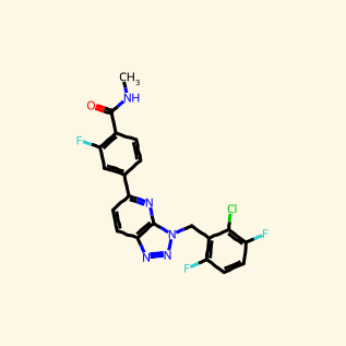 CNC(=O)c1ccc(-c2ccc3nnn(Cc4c(F)ccc(F)c4Cl)c3n2)cc1F